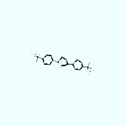 CC1(c2ccc(-c3ccc(-c4ccc(C5(C)N=N5)cc4)nc3)cc2)N=N1